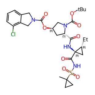 CC[C@@H]1C[C@]1(NC(=O)[C@@H]1C[C@@H](OC(=O)N2Cc3cccc(Cl)c3C2)CN1C(=O)OC(C)(C)C)C(=O)NS(=O)(=O)C1(C)CC1